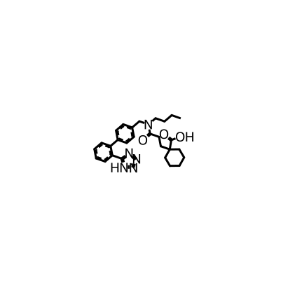 CCCCN(Cc1ccc(-c2ccccc2-c2nnn[nH]2)cc1)C(=O)CCC1(C(=O)O)CCCCC1